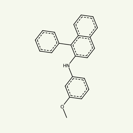 COc1cccc(Nc2ccc3ccccc3c2-c2ccccc2)c1